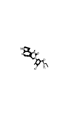 CCNC(=O)c1cc(OC)c(C)c(N2Cc3cnc4[nH]ccc4c3N(C)C2=O)c1